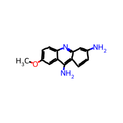 COc1ccc2nc3cc(N)ccc3c(N)c2c1